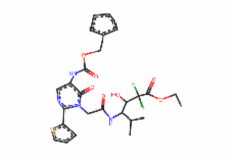 CCOC(=O)C(F)(F)C(O)C(NC(=O)Cn1c(-c2cccs2)ncc(NC(=O)OCc2ccccc2)c1=O)C(C)C